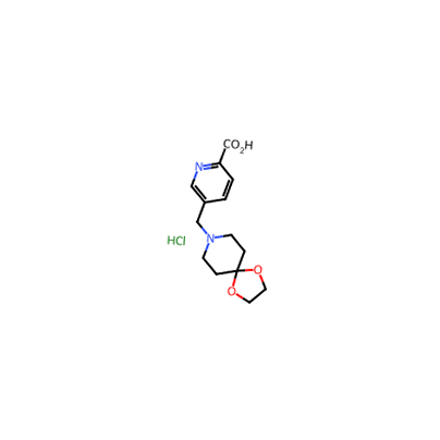 Cl.O=C(O)c1ccc(CN2CCC3(CC2)OCCO3)cn1